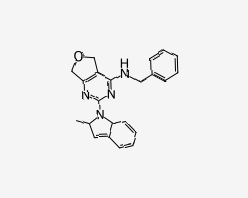 CC1C=C2C=CC=CC2N1c1nc2c(c(NCc3ccccc3)n1)COC2